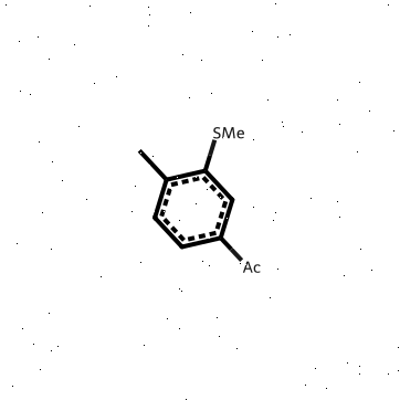 CSc1cc(C(C)=O)ccc1C